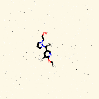 Cc1cc(C(C)N2CC=CN2CCO)cnc1OCC(F)(F)F